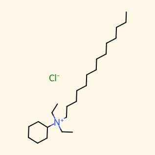 CCCCCCCCCCCCCC[N+](CC)(CC)C1CCCCC1.[Cl-]